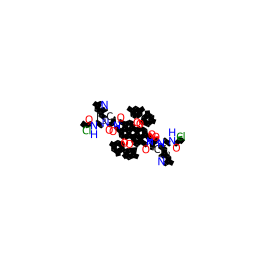 C=C(Cl)C(=O)NCCN(CCc1cncc(C)c1)C(=O)C(CC(F)(F)F)N1C(=O)c2cc(Oc3cc(C)cc(C)c3)c3c4c(Oc5cc(C)cc(C)c5)cc5c6c(cc(Oc7cc(C)cc(C)c7)c(c7c(Oc8cc(C)cc(C)c8)cc(c2c37)C1=O)c64)C(=O)N(C(CC(F)(F)F)C(=O)N(CCNC(=O)C(=C)Cl)CCc1cncc(C)c1)C5=O